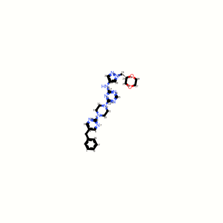 c1ccc(Cc2cnc(N3CCN(c4ncnc(Nc5cnn(C[C@H]6COCCO6)c5)n4)CC3)nc2)cc1